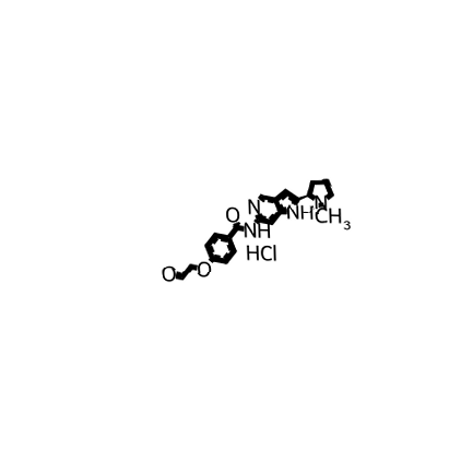 CN1CCC[C@@H]1c1cc2cnc(NC(=O)c3ccc(OCC=O)cc3)cc2[nH]1.Cl